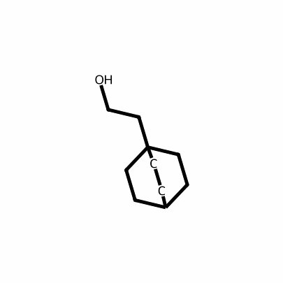 OCCC12CCC(CC1)CC2